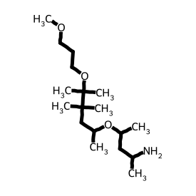 COCCCOC(C)(C)C(C)(C)CC(C)OC(C)CC(C)N